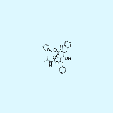 CC(C)NC(=O)OC(Cc1ccccc1)CC(O)C(Cc1ccccc1)NC(=O)OCN1C=CSC1